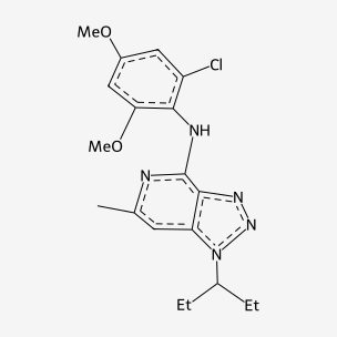 CCC(CC)n1nnc2c(Nc3c(Cl)cc(OC)cc3OC)nc(C)cc21